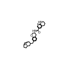 O=C(N[C@H]1COc2cc(CC3CC4CCC5CC3CN45)ccc2C1)c1cnc2c(c1)CCCN2